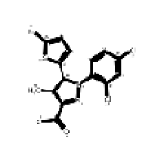 C[C@@H]1C(C(=O)Cl)=NN(c2ccc(Cl)cc2Cl)[C@@H]1c1ccc(Br)s1